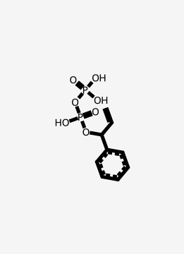 C=CC(OP(=O)(O)OP(=O)(O)O)c1ccccc1